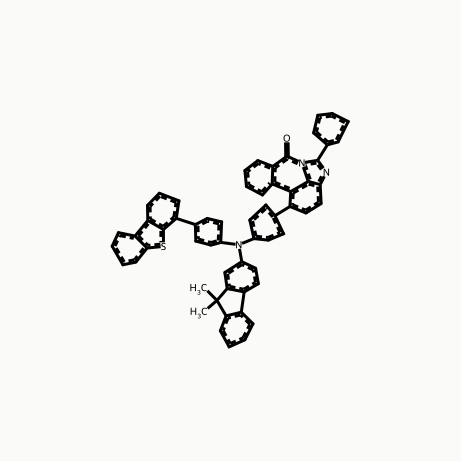 CC1(C)c2ccccc2-c2ccc(N(c3ccc(-c4cccc5c4sc4ccccc45)cc3)c3ccc(-c4ccc5nc(-c6ccccc6)n6c(=O)c7ccccc7c4c56)cc3)cc21